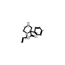 C=CCN1CCNCC1(C(=O)O)c1ccccc1